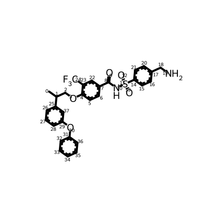 CC(COc1ccc(C(=O)NS(=O)(=O)c2ccc(CN)cc2)cc1C(F)(F)F)c1cccc(Oc2ccccc2)c1